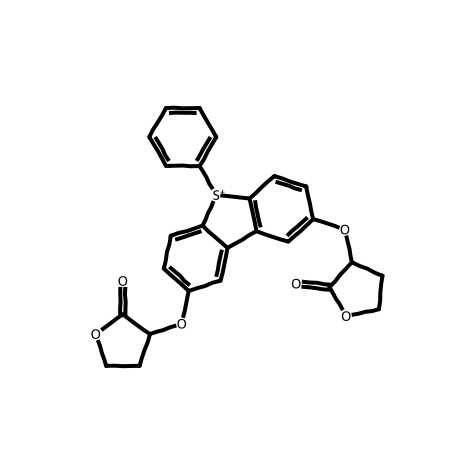 O=C1OCCC1Oc1ccc2c(c1)c1cc(OC3CCOC3=O)ccc1[s+]2-c1ccccc1